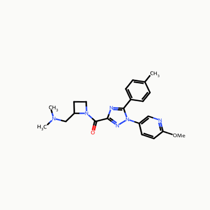 COc1ccc(-n2nc(C(=O)N3CCC3CN(C)C)nc2-c2ccc(C)cc2)cn1